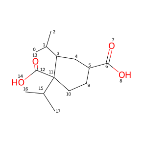 CC(C)C1CC(C(=O)O)CCC1(C(=O)O)C(C)C